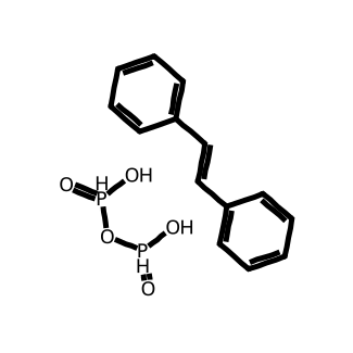 C(=Cc1ccccc1)c1ccccc1.O=[PH](O)O[PH](=O)O